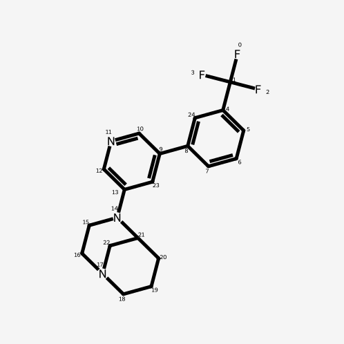 FC(F)(F)c1cccc(-c2cncc(N3CCN4CCCC3C4)c2)c1